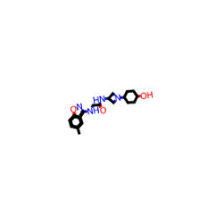 Cc1ccc2onc(NCC(=O)NC3CN(C4CCC(O)CC4)C3)c2c1